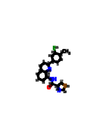 Cc1ccc(-c2ccc3cccc(NC(=O)c4cscn4)c3n2)cc1F